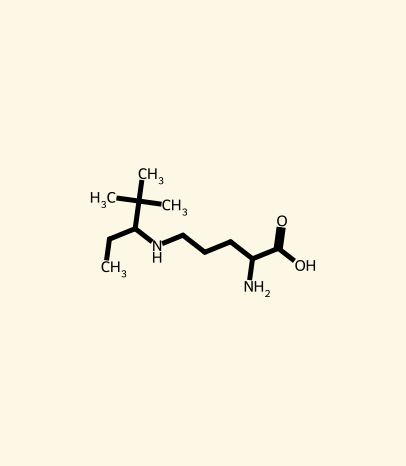 CCC(NCCCC(N)C(=O)O)C(C)(C)C